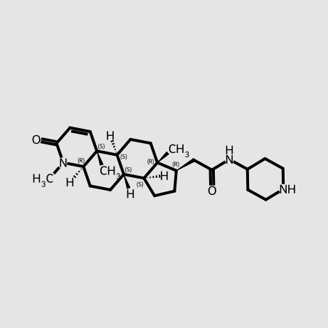 CN1C(=O)C=C[C@]2(C)[C@H]3CC[C@]4(C)[C@@H](CC(=O)NC5CCNCC5)CC[C@H]4[C@@H]3CC[C@@H]12